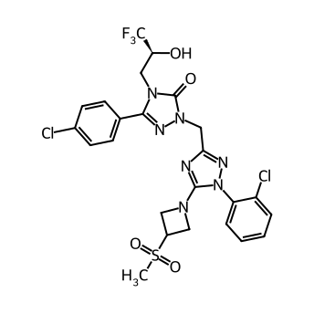 CS(=O)(=O)C1CN(c2nc(Cn3nc(-c4ccc(Cl)cc4)n(C[C@H](O)C(F)(F)F)c3=O)nn2-c2ccccc2Cl)C1